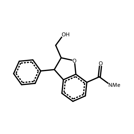 CNC(=O)c1cccc2c1OC(CO)C2c1ccccc1